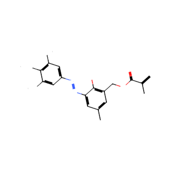 C=C(C)C(=O)OCc1cc(C)cc(N=Nc2cc(OC)c(OC)c(OC)c2)c1O